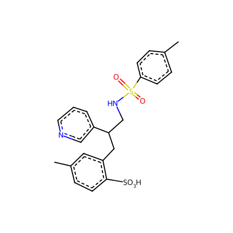 Cc1ccc(S(=O)(=O)NCC(Cc2cc(C)ccc2S(=O)(=O)O)c2cccnc2)cc1